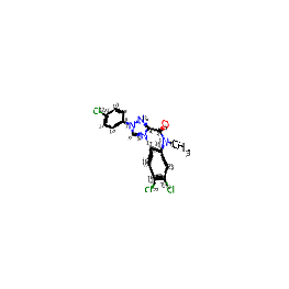 CN(C(=O)c1ncn(-c2ccc(Cl)cc2)n1)c1ccc(Cl)c(Cl)c1